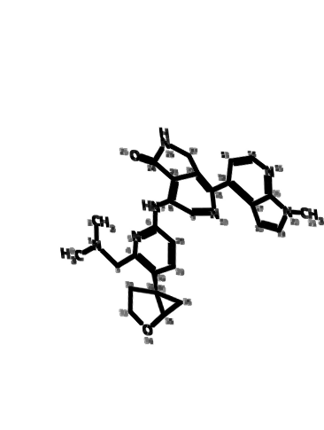 CN(C)Cc1nc(Nc2cnc(-c3ccnc4c3ccn4C)c3c2C(=O)NC3)ccc1[C@]12CCOC1C2